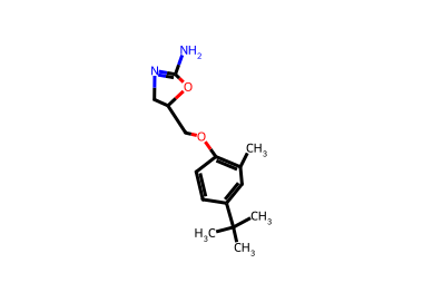 Cc1cc(C(C)(C)C)ccc1OCC1CN=C(N)O1